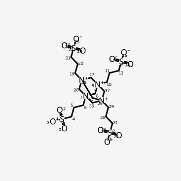 O=S(=O)([O-])CCC[N+]12C[N+]3(CCCS(=O)(=O)[O-])C[N+](CCCS(=O)(=O)[O-])(C1)C[N+](CCCS(=O)(=O)[O-])(C2)C3